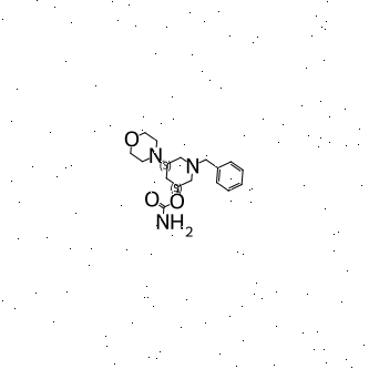 NC(=O)O[C@H]1C[C@H](N2CCOCC2)CN(Cc2ccccc2)C1